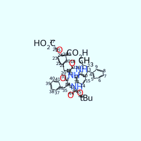 CC(CC(c1ccccc1)c1ccccc1)NC(=O)[C@H](Cc1ccc(OCC(=O)O)c(C(=O)O)c1)NC(=O)[C@H](Cc1ccccc1)NC(=O)OC(C)(C)C